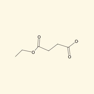 CCOC(=O)CCC([O])=O